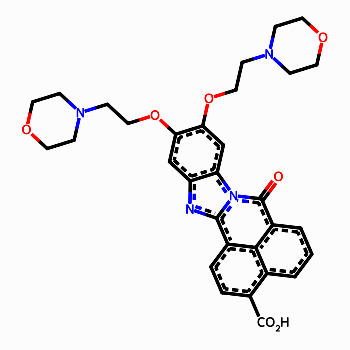 O=C(O)c1ccc2c3c1cccc3c(=O)n1c3cc(OCCN4CCOCC4)c(OCCN4CCOCC4)cc3nc21